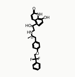 C[C@H](Cc1ccc(OCC(F)(F)c2ccccc2)cc1)NC[C@H](O)c1ccc(O)c2[nH]c(=O)ccc12